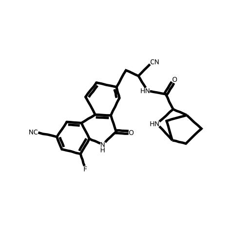 N#Cc1cc(F)c2[nH]c(=O)c3cc(CC(C#N)NC(=O)C4NC5CCC4C5)ccc3c2c1